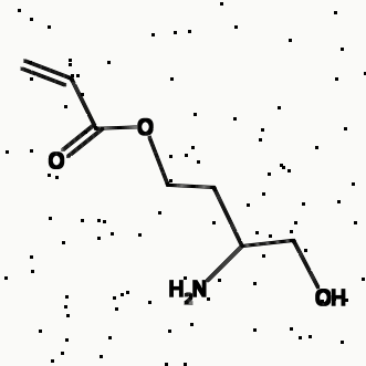 C=CC(=O)OCCC(N)CO